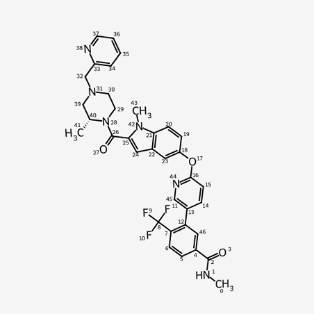 CNC(=O)c1ccc(C(F)(F)F)c(-c2ccc(Oc3ccc4c(c3)cc(C(=O)N3CCN(Cc5ccccn5)C[C@H]3C)n4C)nc2)c1